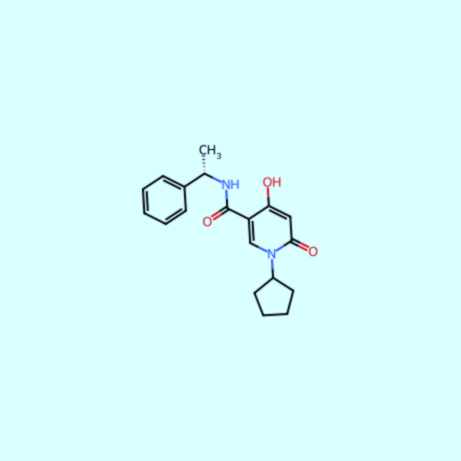 C[C@H](NC(=O)c1cn(C2CCCC2)c(=O)cc1O)c1ccccc1